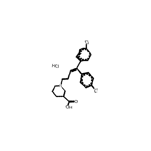 Cl.O=C(O)C1CCCN(CCC=C(c2ccc(Cl)cc2)c2ccc(Cl)cc2)C1